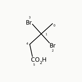 CC(Br)(Br)CC(=O)O